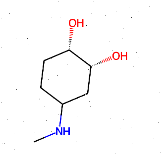 CNC1CC[C@H](O)[C@H](O)C1